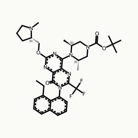 CCc1cccc2cccc(-n3c(C(F)(F)F)nc4c(N5[C@@H](C)CN(C(=O)OC(C)(C)C)C[C@@H]5C)nc(OC[C@@H]5CCCN5C)nc4c3=O)c12